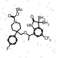 BC1(B)C(=O)Nc2c(C(C)OCC3(c4ccc(F)cc4)CCN(C(=O)OC(C)(C)C)CC3)cc(C(F)(F)F)cc21